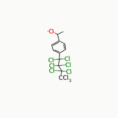 CC([O])c1ccc(C(Cl)(Cl)C(Cl)(Cl)C(Cl)(Cl)C(Cl)(Cl)Cl)cc1